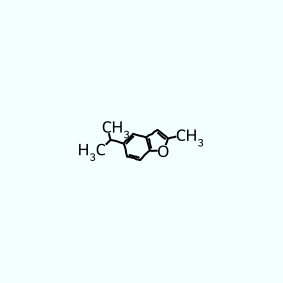 Cc1cc2cc(C(C)C)ccc2o1